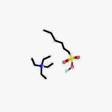 CCCCCCS(=O)(=O)OF.CC[N+](CC)(CC)CC